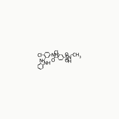 CCNS(=O)(=O)c1ccc(C(=O)Nc2ccc(Cl)c(-c3nc4ccccc4[nH]3)c2)c(Cl)c1